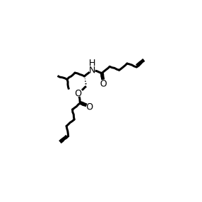 C=CCCCC(=O)N[C@H](COC(=O)CCCC=C)CC(C)C